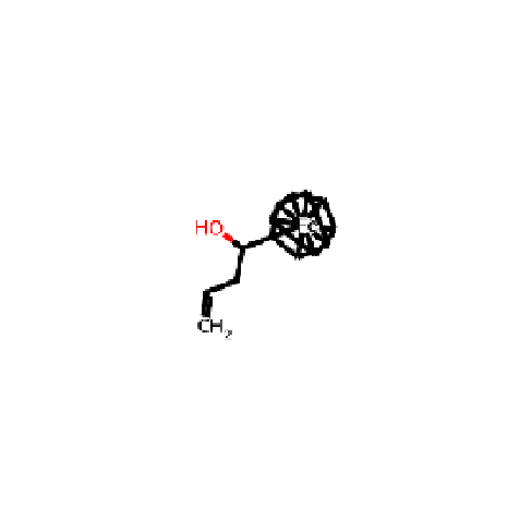 C=CCC(O)[C]12[CH]3[CH]4[CH]5[CH]1[Fe]45321678[CH]2[CH]1[CH]6[CH]7[CH]28